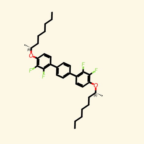 CCCCCC[C@@H](C)Oc1ccc(-c2ccc(-c3ccc(O[C@H](C)CCCCCC)c(F)c3F)cc2)c(F)c1F